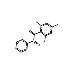 C=C(c1c(C)cc(C)cc1C)[PH](=O)c1ccccc1